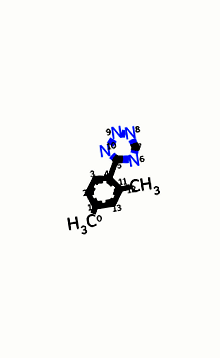 Cc1ccc(-c2ncnnn2)c(C)c1